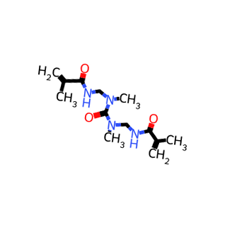 C=C(C)C(=O)NCN(C)C(=O)N(C)CNC(=O)C(=C)C